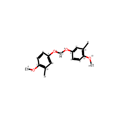 CCOc1ccc(OBOc2ccc(OCC)c(C)c2)cc1C